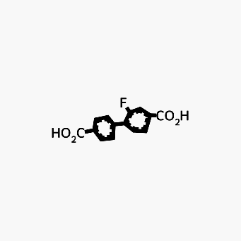 O=C(O)c1ccc(-c2ccc(C(=O)O)cc2F)cc1